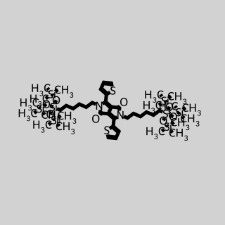 C[Si](C)(C)O[Si](CCCCCCN1C(=O)C2=C(c3cccs3)N(CCCCCC[Si](O[Si](C)(C)C)(O[Si](C)(C)C)O[Si](C)(C)C)C(=O)C2=C1c1cccs1)(O[Si](C)(C)C)O[Si](C)(C)C